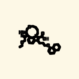 CCOCc1n[nH]c2c1-c1cccc3c(CCCOc4cccc5c4CCCC5)c(C(=O)O)n(c13)CCCCOC2